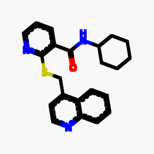 O=C(NC1CCCCC1)c1cccnc1SCc1ccnc2ccccc12